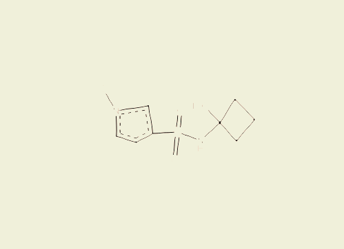 Cn1ccc(S(=O)(=O)NC2(C(F)(F)F)CCC2)c1